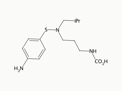 CC(C)CN(CCCNC(=O)O)Sc1ccc(N)cc1